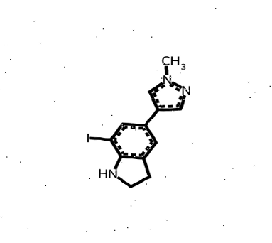 Cn1cc(-c2cc(I)c3c(c2)CCN3)cn1